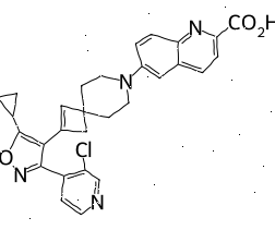 O=C(O)c1ccc2cc(N3CCC4(C=C(c5c(-c6ccncc6Cl)noc5C5CC5)C4)CC3)ccc2n1